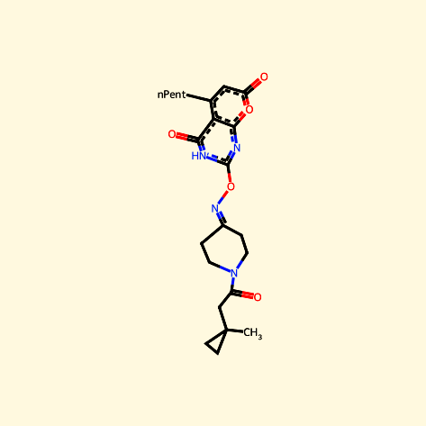 CCCCCc1cc(=O)oc2nc(ON=C3CCN(C(=O)CC4(C)CC4)CC3)[nH]c(=O)c12